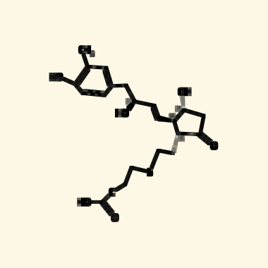 Cc1cc(C[C@H](O)C=C[C@H]2[C@H](O)CC(=O)[C@@H]2CCSCCCC(=O)O)ccc1O